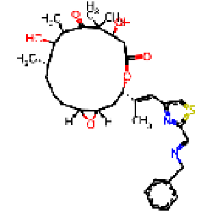 CC(=Cc1csc(C=NCc2ccccc2)n1)[C@@H]1C[C@@H]2O[C@@H]2CCC[C@H](C)C(O)[C@@H](C)C(=O)C(C)(C)[C@@H](O)CC(=O)O1